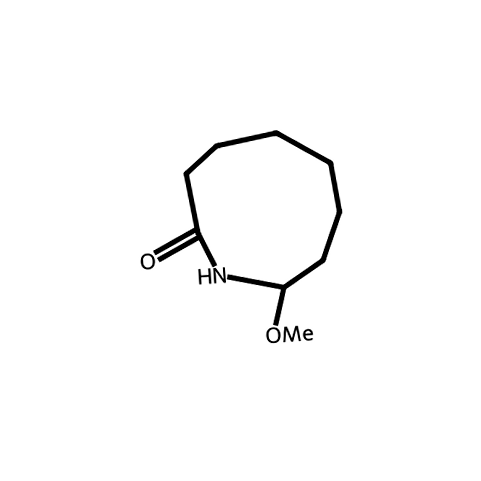 COC1CCCCCCC(=O)N1